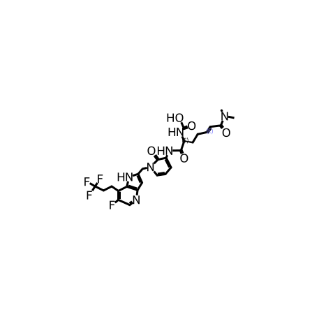 CN(C)C(=O)/C=C/CC[C@H](NC(=O)O)C(=O)Nc1cccn(Cc2cc3ncc(F)c(CCC(F)(F)F)c3[nH]2)c1=O